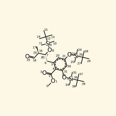 COC(=O)c1c(C[C@@H](O[Si](C)(C)C(C)(C)C)[C@H](C)C=O)cc(O[Si](C)(C)C(C)(C)C)cc1O[Si](C)(C)C(C)(C)C